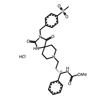 COC(=O)N[C@@H](CCN1CCC2(CC1)NC(=O)N(Cc1ccc(S(C)(=O)=O)cc1)C2=O)c1ccccc1.Cl